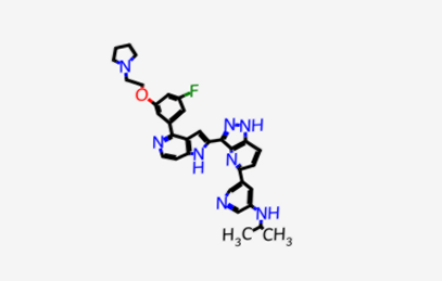 CC(C)Nc1cncc(-c2ccc3[nH]nc(-c4cc5c(-c6cc(F)cc(OCCN7CCCC7)c6)nccc5[nH]4)c3n2)c1